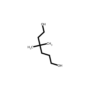 CC(C)(CCO)CCCO